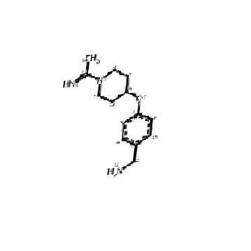 CC(=N)N1CCC(Oc2ccc(CN)cc2)CC1